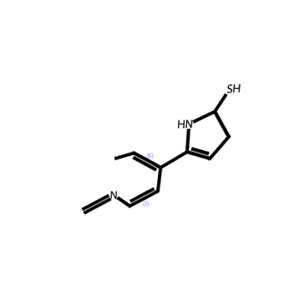 C=N/C=C\C(=C/C)C1=CCC(S)N1